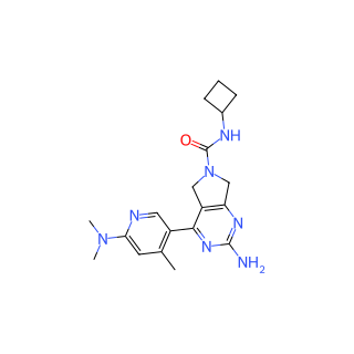 Cc1cc(N(C)C)ncc1-c1nc(N)nc2c1CN(C(=O)NC1CCC1)C2